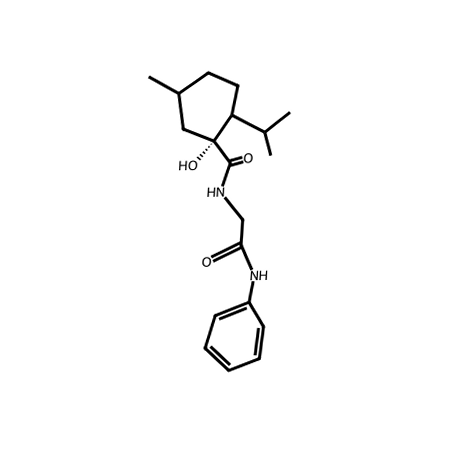 CC1CCC(C(C)C)[C@@](O)(C(=O)NCC(=O)Nc2ccccc2)C1